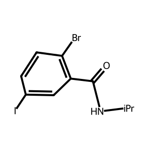 CC(C)NC(=O)c1cc(I)ccc1Br